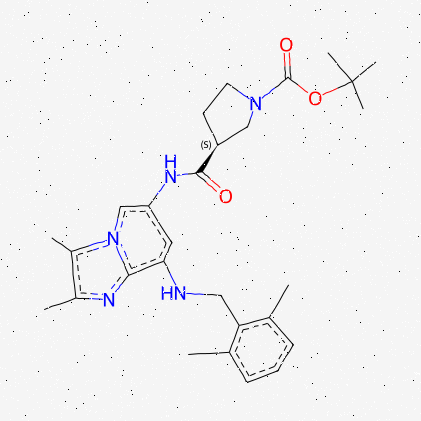 Cc1cccc(C)c1CNc1cc(NC(=O)[C@H]2CCN(C(=O)OC(C)(C)C)C2)cn2c(C)c(C)nc12